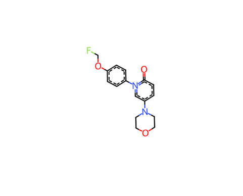 O=c1ccc(N2CCOCC2)cn1-c1ccc(OCF)cc1